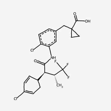 C[C@H]([C@H](C(=O)Nc1cc(CC2(C(=O)O)CC2)ccc1Cl)C1C=CC(Cl)=CC1)C(F)(F)F